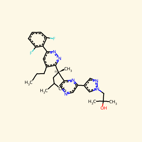 CCCc1cc(-c2c(F)cccc2F)nnc1[C@@](C)(CC(C)C)c1cncc(-c2cnn(CC(C)(C)O)c2)n1